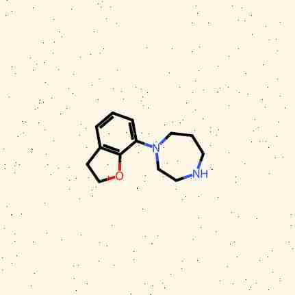 c1cc2c(c(N3CCCNCC3)c1)OCC2